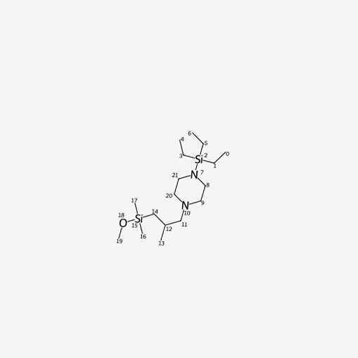 CC[Si](CC)(CC)N1CCN(CC(C)C[Si](C)(C)OC)CC1